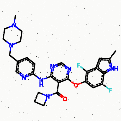 Cc1cc2c(F)c(Oc3ncnc(Nc4ccc(CN5CCN(C)CC5)cn4)c3C(=O)N3CCC3)cc(F)c2[nH]1